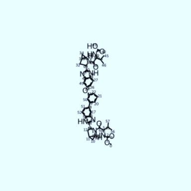 COC(=O)N[C@@H](C(=O)N1[C@@H]2CC2C[C@H]1c1nc2cc(-c3cccc(Oc4ccc5[nH]c([C@@H]6CC7C[C@H]7N6C(=O)[C@H](NC(=O)O)C(C)C)nc5c4)c3)ccc2[nH]1)C(C)C